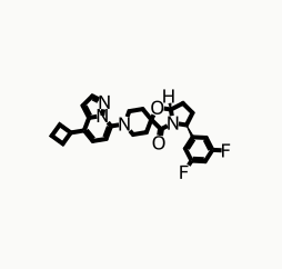 O=C1N2[C@@H](CC[C@H]2c2cc(F)cc(F)c2)OC12CCN(c1ccc(C3CCC3)c3ccnn13)CC2